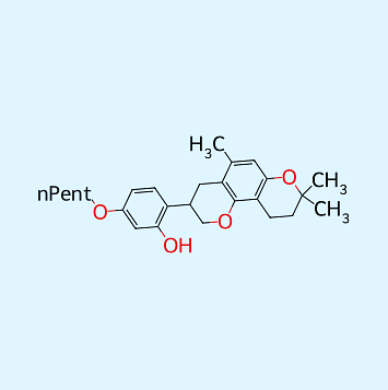 CCCCCOc1ccc(C2COc3c(c(C)cc4c3CCC(C)(C)O4)C2)c(O)c1